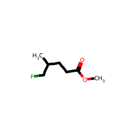 COC(=O)CCC(C)CF